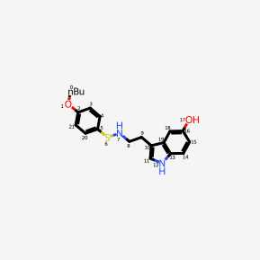 CCCCOc1ccc(SNCCc2c[nH]c3ccc(O)cc23)cc1